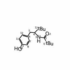 CC(C)(C)C(=O)NC(Cc1ccc(O)cc1)C(C)(C)C